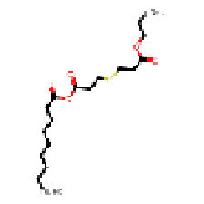 CCCCCCCCCCCCCCCCCC(=O)OC(=O)CCSCCC(=O)OCCCCCCCCCCCC